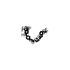 O=C(COC1CCC(Nc2ccc([N+](=O)[O-])c(C(F)(F)F)c2)CC1)N1CCN(Cc2cc3cc(OC(F)(F)F)ccc3o2)CC1